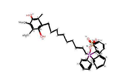 COc1c(O)c(C)c(CCCCCCCCCCP(OS(C)(=O)=O)(c2ccccc2)(c2ccccc2)c2ccccc2)c(O)c1OC